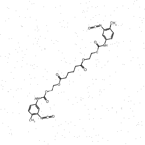 Cc1ccc(NC(=O)OCCOC(=O)CCCCC(=O)OCCOC(=O)Nc2ccc(C)c(N=C=O)c2)cc1N=C=O